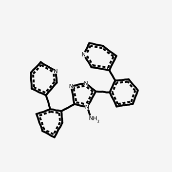 Nn1c(-c2ccccc2-c2cccnc2)nnc1-c1ccccc1-c1cccnc1